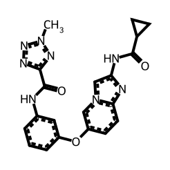 Cn1nnc(C(=O)Nc2cccc(Oc3ccc4nc(NC(=O)C5CC5)cn4c3)c2)n1